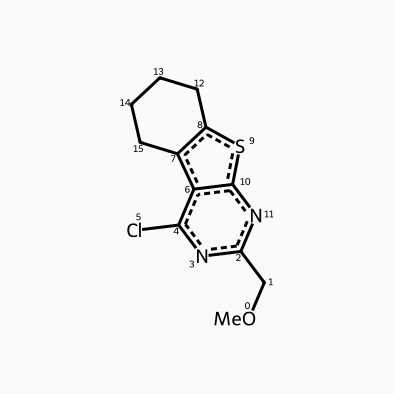 COCc1nc(Cl)c2c3c(sc2n1)CCCC3